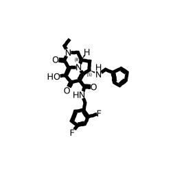 CCN1C[C@H]2C[C@H](NCc3ccccc3)c3c(C(=O)NCc4ccc(F)cc4F)c(=O)c(O)c(n32)C1=O